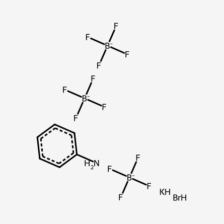 Br.F[B-](F)(F)F.F[B-](F)(F)F.F[B-](F)(F)F.Nc1ccccc1.[KH]